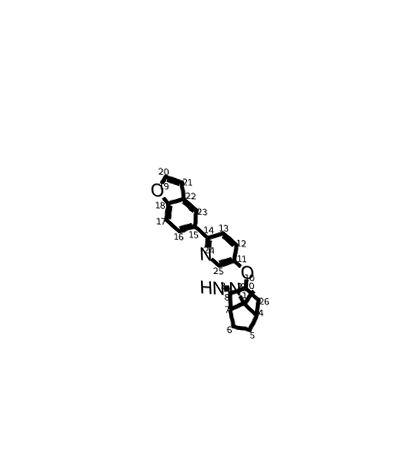 CC1(N=N)C2CCC1CC(Oc1ccc(-c3ccc4occc4c3)nc1)C2